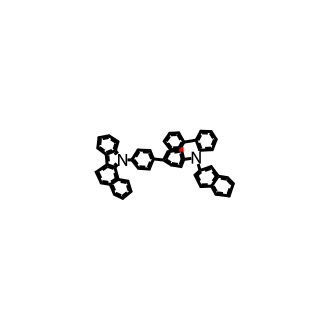 c1ccc(-c2ccccc2N(c2ccc(-c3ccc(-n4c5ccccc5c5ccc6ccccc6c54)cc3)cc2)c2ccc3ccccc3c2)cc1